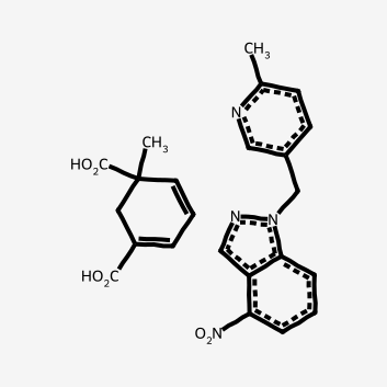 CC1(C(=O)O)C=CC=C(C(=O)O)C1.Cc1ccc(Cn2ncc3c([N+](=O)[O-])cccc32)cn1